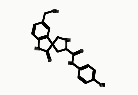 CC(C)(C)Cc1ccc2c(c1)C1(CNC(C(=O)Nc3ccc(C#N)cc3)C1)C(=O)N2